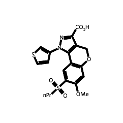 CCCS(=O)(=O)c1cc2c(cc1OC)OCc1c(C(=O)O)nn(-c3ccsc3)c1-2